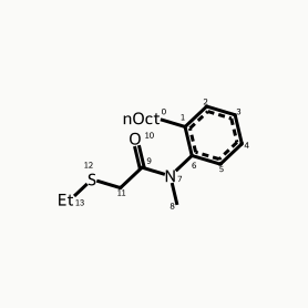 CCCCCCCCc1ccccc1N(C)C(=O)CSCC